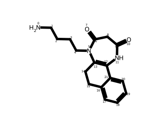 NCCCCN1C(=O)CC(=O)NC2=C1CCc1ccccc12